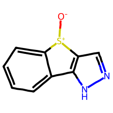 [O-][s+]1c2ccccc2c2[nH]ncc21